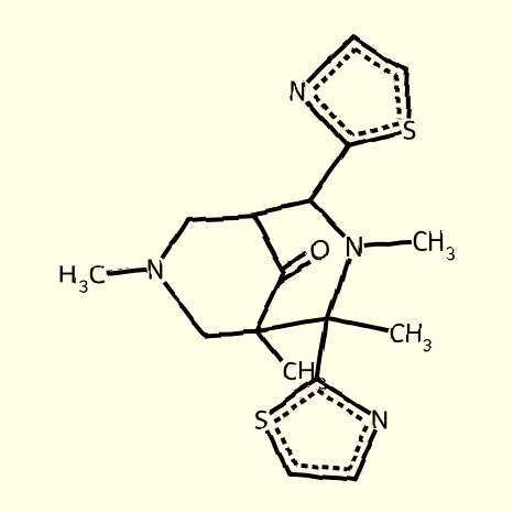 CN1CC2C(=O)C(C)(C1)C(C)(c1nccs1)N(C)C2c1nccs1